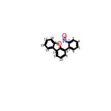 O=Nc1ccccc1-c1cccc2c1oc1ccccc12